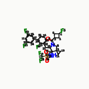 O=C(C1CC(F)C1)N1CC2(CC2)C(NS(=O)(=O)C(F)F)C1Cc1cccc(-c2cc(F)cc(F)c2)c1F